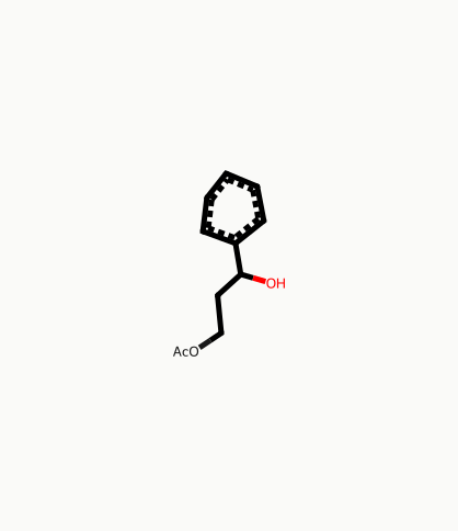 CC(=O)OCCC(O)c1ccccc1